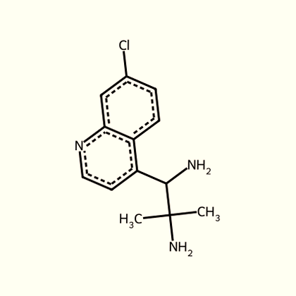 CC(C)(N)C(N)c1ccnc2cc(Cl)ccc12